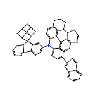 C1=Cc2cccc(-c3ccccc3N(c3ccc(-c4ccc5ccccc5c4)cc3)c3ccc4c(c3)C3(c5ccccc5-4)C4CC5CC6CC3C564)c2C(C2CCCCC2)C1